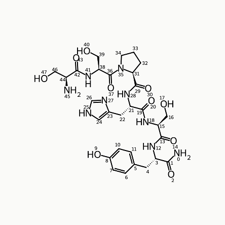 NC(=O)[C@H](Cc1ccc(O)cc1)NC(=O)[C@H](CO)NC(=O)[C@H](Cc1c[nH]cn1)NC(=O)[C@@H]1CCCN1C(=O)[C@H](CO)NC(=O)[C@@H](N)CO